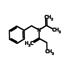 C=C(C)N(Cc1ccccc1)C(=C)CC